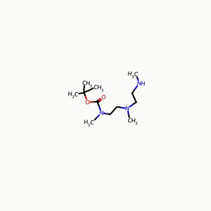 CNCCN(C)CCN(C)C(=O)OC(C)(C)C